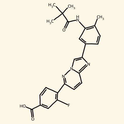 Cc1ccc(-c2cn3nc(-c4ccc(C(=O)O)cc4F)ccc3n2)cc1NC(=O)C(C)(C)C